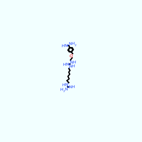 N=C(N)NCCCCCCCCNC(=N)NCCOCc1ccc(C(=N)N)cc1